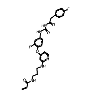 C=CC(=O)NCCCNc1cc(Oc2ccc(NC(=O)NC(=O)Cc3ccc(F)cc3)cc2F)ccn1